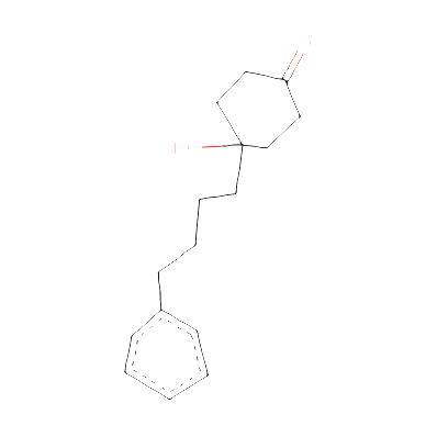 O=C1CCC(O)(CCCCc2ccccc2)CC1